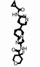 O=C(Nc1cc(-c2ccc3nc(NC(=O)C4(F)CCOCC4)cn3c2)cnn1)C1CC1